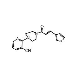 N#Cc1cccnc1N1CCN(C(=O)C=Cc2ccsc2)CC1